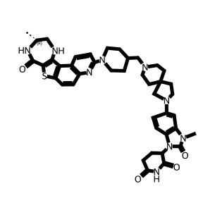 C[C@@H]1CNc2c(sc3ccc4nc(N5CCC(CN6CCC7(CC6)CCN(c6ccc8c(c6)n(C)c(=O)n8C6CCC(=O)NC6=O)C7)CC5)ccc4c23)C(=O)N1